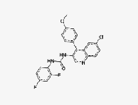 COc1ccc(-c2c(NC(=O)Nc3ccc(F)cc3F)cnc3ccc(Cl)cc23)cc1